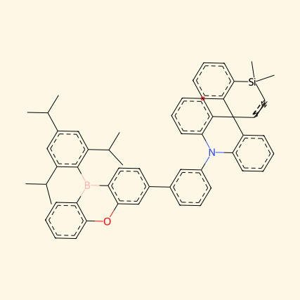 CC(C)c1cc(C(C)C)c(B2c3ccccc3Oc3cc(-c4cccc(N5c6ccccc6C6(c7ccccc75)c5ccccc5[Si](C)(C)c5ccccc56)c4)ccc32)c(C(C)C)c1